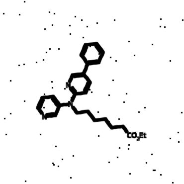 CCOC(=O)CCCCCCN(c1cccnc1)c1ccc(-c2ccccc2)cn1